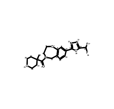 CC1(C(=O)N2CCOc3cc(-c4nnc(C(F)F)o4)ccc3C2)CCOCC1